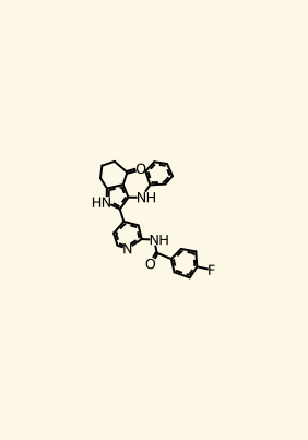 O=C(Nc1cc(-c2[nH]c3c(c2Nc2ccccc2)C(=O)CCC3)ccn1)c1ccc(F)cc1